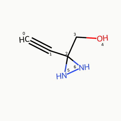 C#CC1(CO)NN1